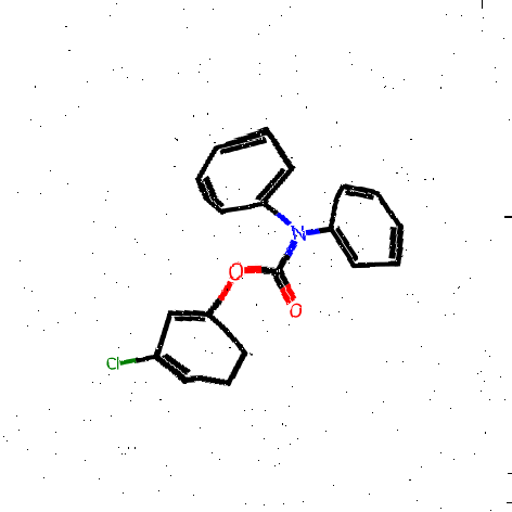 O=C(OC1=CC(Cl)=CC[CH]1)N(c1ccccc1)c1ccccc1